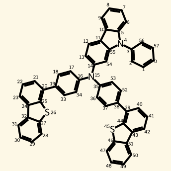 c1ccc(-n2c3ccccc3c3ccc(N(c4ccc(-c5cccc6c5sc5ccccc56)cc4)c4ccc(-c5cccc6c5sc5ccccc56)cc4)cc32)cc1